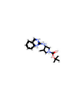 CC1CN(C(=O)OC(C)(C)C)CC1Nc1ncc2ccccc2n1